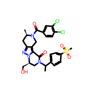 CC(c1ccc(S(C)(=O)=O)cc1)N1C[C@@H](CO)n2nc3c(c2C1=O)CN(C(=O)c1ccc(Cl)c(Cl)c1)[C@H](C)C3